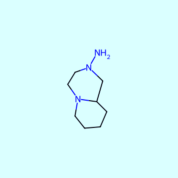 NN1CCN2CCCCC2C1